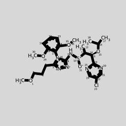 COCCCc1nnc(N[S+]([O-])C(C)[C@@H](OC(C)C)c2ncc(Cl)cn2)n1-c1c(OC)cccc1OC